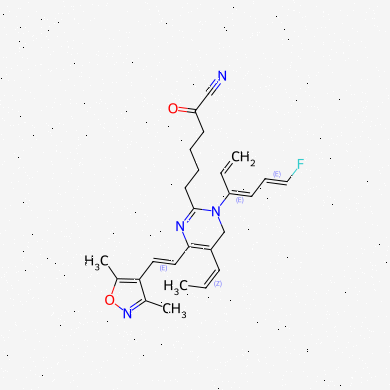 C=C/C(=C\C=C\F)N1CC(/C=C\C)=C(/C=C/c2c(C)noc2C)N=C1CCCCC(=O)C#N